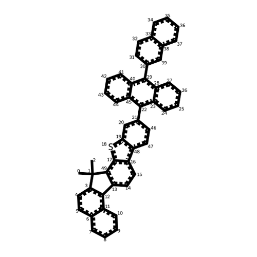 CC1(C)c2ccc3ccccc3c2-c2ccc3c(sc4cc(-c5c6ccccc6c(-c6ccc7ccccc7c6)c6ccccc56)ccc43)c21